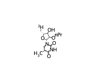 [2H]C[C@H]1O[C@@H](n2cc(C)c(=O)[nH]c2=O)[C@H](OCCC)[C@@H]1O